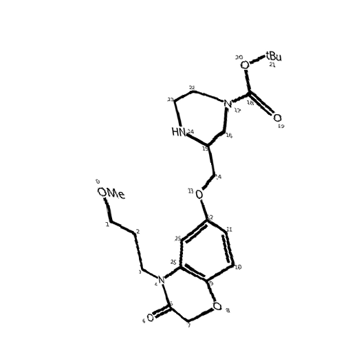 COCCCN1C(=O)COc2ccc(OCC3CN(C(=O)OC(C)(C)C)CCN3)cc21